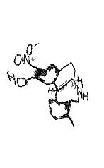 Cc1cccc2c1CN[C@@H]1CCc3cc([N+](=O)[O-])c(O)cc3[C@@H]21